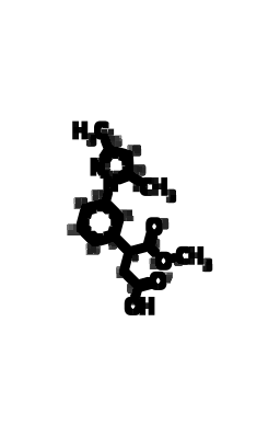 COC(=O)C(CC(=O)O)c1cccc(-n2nc(C)cc2C)c1